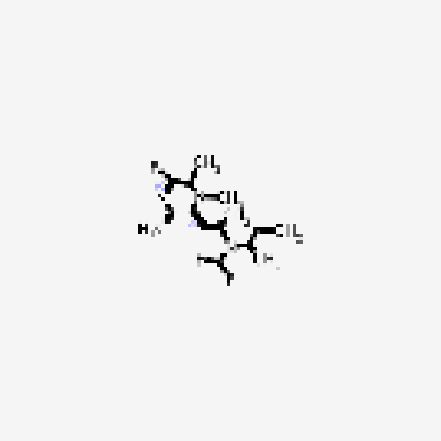 C=C/N=C(/F)C(C)N(C)/C=C\C(=C)N(C(=C)C=C)C(F)F